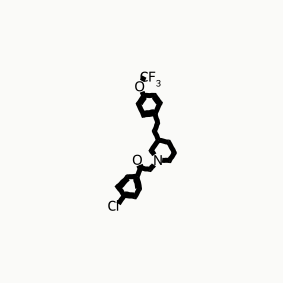 O=C(CN1CCCC(CCc2ccc(OC(F)(F)F)cc2)C1)c1ccc(Cl)cc1